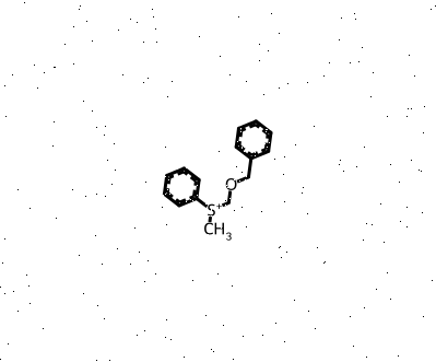 C[S+](COCc1ccccc1)c1ccccc1